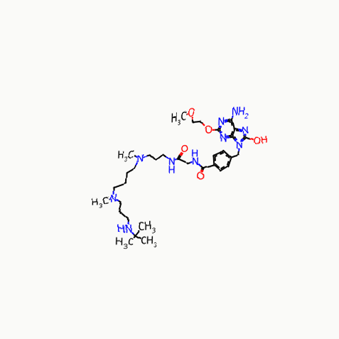 COCCOc1nc(N)c2nc(O)n(Cc3ccc(C(=O)NCC(=O)NCCCN(C)CCCCN(C)CCCNC(C)(C)C)cc3)c2n1